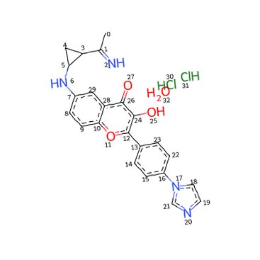 CC(=N)C1CC1Nc1ccc2oc(-c3ccc(-n4ccnc4)cc3)c(O)c(=O)c2c1.Cl.Cl.O